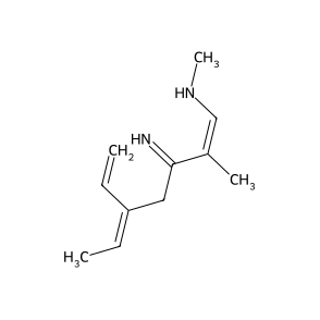 C=C/C(=C\C)CC(=N)/C(C)=C\NC